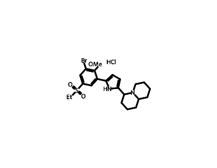 CCS(=O)(=O)c1cc(Br)c(OC)c(-c2ccc(C3CCCC4CCCCN43)[nH]2)c1.Cl